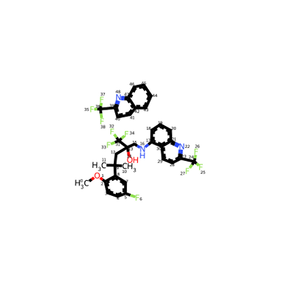 COc1ccc(F)cc1C(C)(C)CC(O)(CNc1cccc2nc(C(F)(F)F)ccc12)C(F)(F)F.FC(F)(F)c1ccc2ccccc2n1